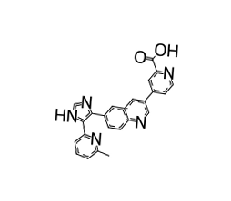 Cc1cccc(-c2[nH]cnc2-c2ccc3ncc(-c4ccnc(C(=O)O)c4)cc3c2)n1